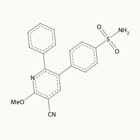 COc1nc(-c2ccccc2)c(-c2ccc(S(N)(=O)=O)cc2)cc1C#N